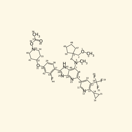 COCC1(CN(C)c2cc(-c3cnc(C4CC4)c(C(F)(F)F)c3)nc3nc(-c4ccc(OC5CCN(OC(C)=O)CC5)cc4F)[nH]c23)CCCC1